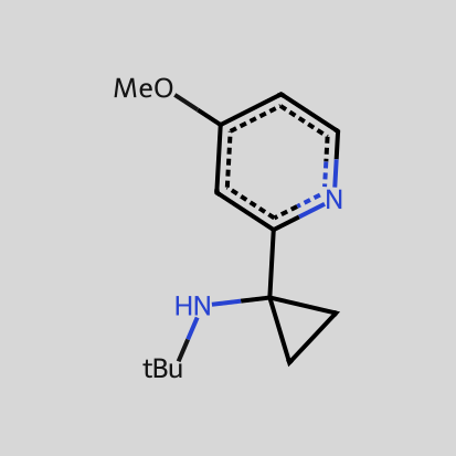 COc1ccnc(C2(NC(C)(C)C)CC2)c1